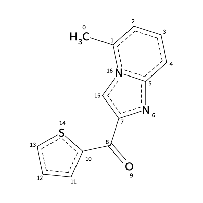 Cc1cccc2nc(C(=O)c3cccs3)cn12